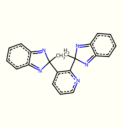 CC1(c2cccnc2C2(C)N=c3ccccc3=N2)N=c2ccccc2=N1